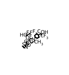 C[C@H]1CN(S(=O)(=O)c2nccs2)CCN1c1ccc(C(O)(C(F)(F)F)C(F)(F)F)cc1.O=C(O)C(F)(F)F